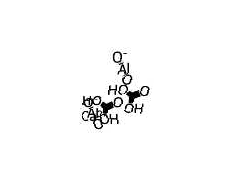 O=C(O)O.O=C(O)O.[Ca+2].[O]=[Al][O-].[O]=[Al][O-]